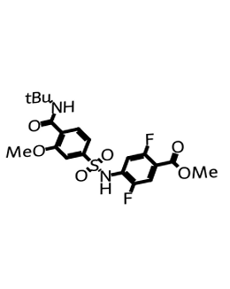 COC(=O)c1cc(F)c(NS(=O)(=O)c2ccc(C(=O)NC(C)(C)C)c(OC)c2)cc1F